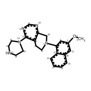 COc1cc(N2CCc3c(ncnc3N3CCNCC3)C2)c2ccccc2c1